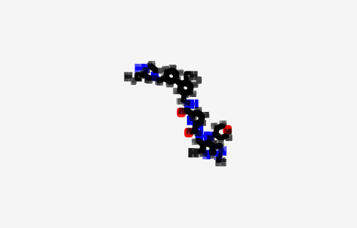 CCc1nc2c(cnn2CC)c(NC2CCOCC2)c1CNC(=O)c1cccc(C(=O)NCc2ccc(C)c(-c3cccc(CN4CCN[C@H](C)C4)c3)c2)n1